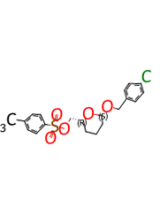 Cc1ccc(S(=O)(=O)OC[C@H]2CCC[C@@H](OCc3ccc(Cl)cc3)O2)cc1